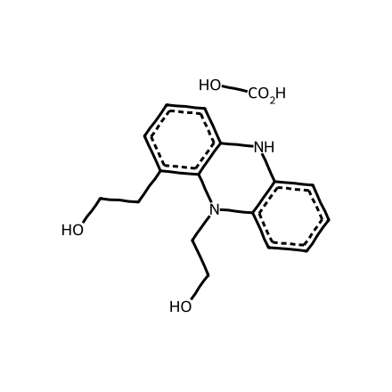 O=C(O)O.OCCc1cccc2c1N(CCO)c1ccccc1N2